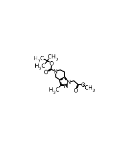 COC(=O)Cn1nc(C)c2c1CCN(C(=O)OC(C)(C)C)C2